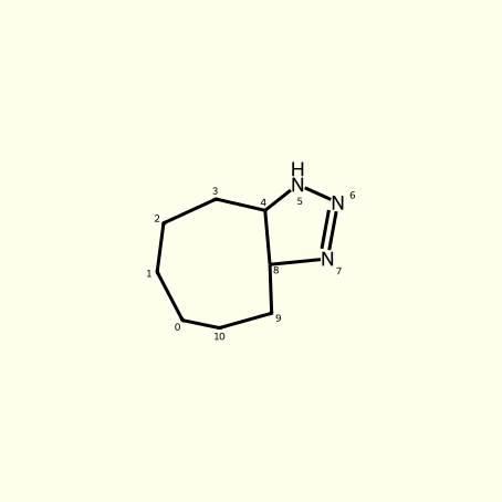 C1CCCC2NN=NC2CC1